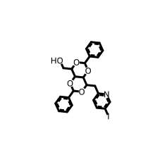 OCC1OC(c2ccccc2)OC2C(Cc3ccc(I)cn3)OC(c3ccccc3)OC12